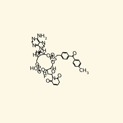 Cc1ccc(C(=O)c2ccc(CSP3(=O)OC[C@H]4OC(N5C(=O)C=CCC5=O)[C@H](F)[C@@H]4OP(=O)(O)OC[C@H]4OC(n5cnc6c(N)ncnc65)[C@H](O3)[C@@H]4F)cc2)cc1